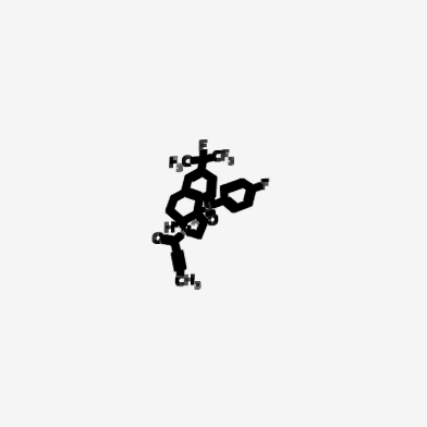 CC#CC(=O)N1CC[C@@]2(S(=O)(=O)c3ccc(F)cc3)c3ccc(C(F)(C(F)(F)F)C(F)(F)F)cc3CC[C@@H]12